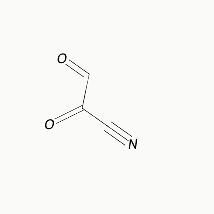 N#CC(=O)C=O